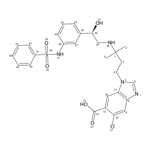 CC(C)(CCn1cnc2cc(Cl)c(C(=O)O)cc21)NC[C@H](O)c1cccc(NS(=O)(=O)c2ccccc2)c1